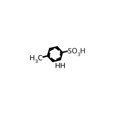 Cc1ccc(S(=O)(=O)O)cc1.[HH]